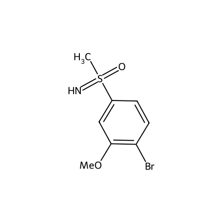 COc1cc(S(C)(=N)=O)ccc1Br